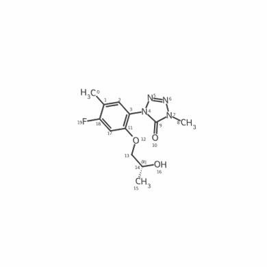 Cc1cc(-n2nnn(C)c2=O)c(OC[C@@H](C)O)cc1F